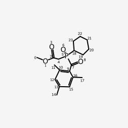 COC(=O)CP(=O)(C(=O)c1c(C)cc(C)cc1C)C1CCCCC1